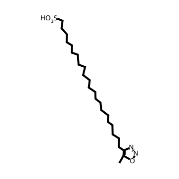 Cc1onnc1CCCCCCCCCCCCCCCCCCCCCCS(=O)(=O)O